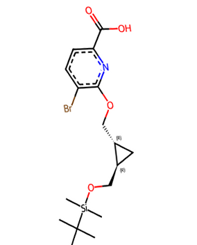 CC(C)(C)[Si](C)(C)OC[C@@H]1C[C@H]1COc1nc(C(=O)O)ccc1Br